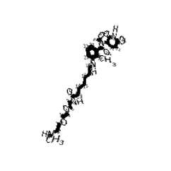 CNCCOCCOCCNC(=O)CCCCCCNc1cccc(C(=O)N(C=O)C2CCC(=O)NC2=O)c1C